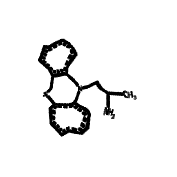 CC(N)CN1c2ccccc2Sc2ccccc21